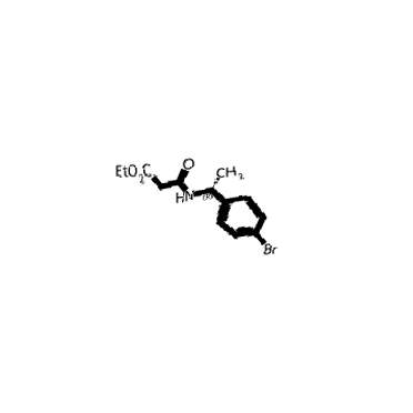 CCOC(=O)CC(=O)N[C@H](C)c1ccc(Br)cc1